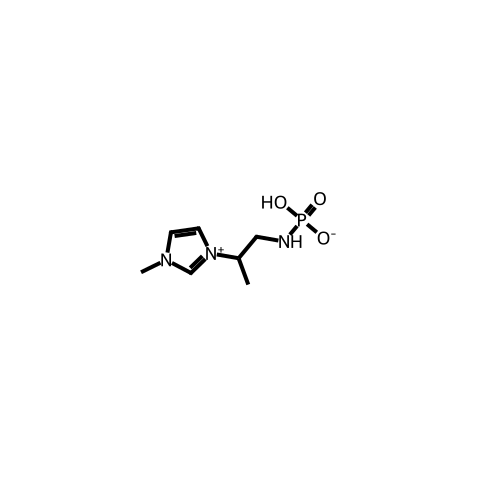 CC(CNP(=O)([O-])O)[n+]1ccn(C)c1